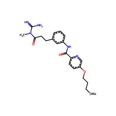 COCCCOc1ccc(C(=O)Nc2cccc(CCC(=O)N(C)C(=N)N)c2)nc1